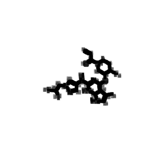 C=CC(=O)N1CC[C@@H](F)[C@@H](OC2=C3C(C)=CNC3NC(Nc3cnn(CC(F)F)c3)=N2)C1